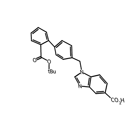 CC(C)(C)OC(=O)c1ccccc1-c1ccc(Cn2cnc3cc(C(=O)O)ccc32)cc1